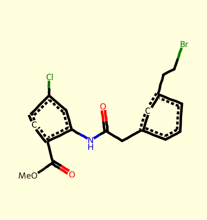 COC(=O)c1ccc(Cl)cc1NC(=O)Cc1cccc(CCBr)c1